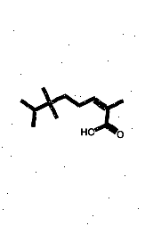 CC(=CCCC(C)(C)C(C)C)C(=O)O